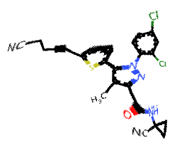 Cc1c(C(=O)NC2(C#N)CC2)nn(-c2ccc(Cl)cc2Cl)c1-c1ccc(C#CCCC#N)s1